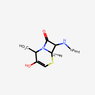 CCCCCNC1C(=O)N2C(C(=O)O)C(O)=CS[C@H]12